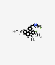 Cc1c(F)ccc(C2=C(c3ccc(C=C4CN(CCCF)C4)cc3)c3ccc(C(=O)O)cc3CCC2)c1C